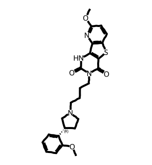 COc1ccc2sc3c(=O)n(CCCCN4CC[C@H](c5ccccc5OC)C4)c(=O)[nH]c3c2n1